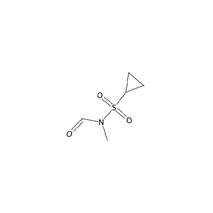 CN(C=O)S(=O)(=O)C1CC1